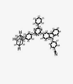 N#Cc1ccc(-n2c3ccccc3c3cc(-c4nc(-c5ccccc5)nc(-c5ccc(C67C[C@H]8C[C@@H](C6)C[C@@H](C7)C8)cc5)n4)ccc32)cc1